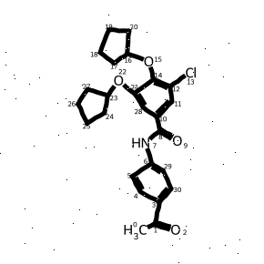 CC(=O)c1ccc(NC(=O)c2cc(Cl)c(OC3CCCC3)c(OC3CCCC3)c2)cc1